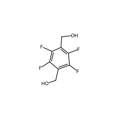 OCc1c(F)c(F)c(CO)c(F)c1F